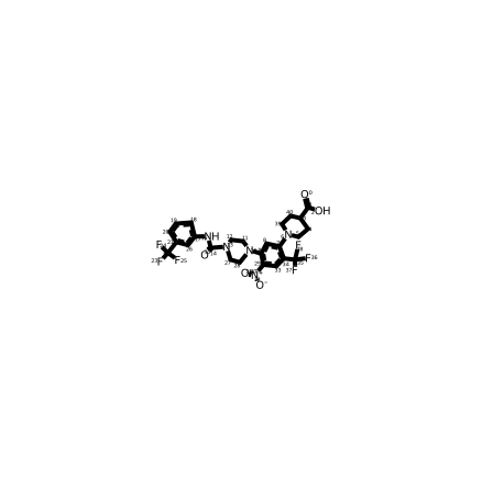 O=C(O)C1CCN(c2cc(N3CCN(C(=O)Nc4cccc(C(F)(F)F)c4)CC3)c([N+](=O)[O-])cc2C(F)(F)F)CC1